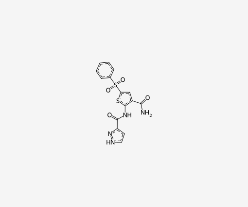 NC(=O)c1cc(S(=O)(=O)c2ccccc2)sc1NC(=O)c1cc[nH]n1